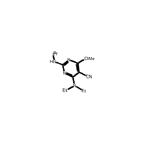 CCN(CC)c1nc(NC(C)C)nc(OC)c1C#N